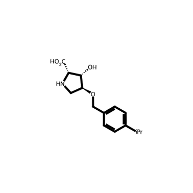 CC(C)c1ccc(CO[C@H]2CN[C@H](C(=O)O)[C@@H]2O)cc1